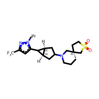 CC(C)n1nc(C(F)(F)F)cc1C1[C@H]2CC(N3CCC[C@@]4(CCS(=O)(=O)C4)C3)C[C@@H]12